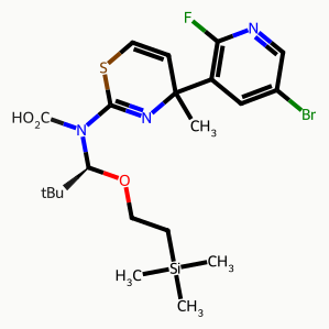 CC1(c2cc(Br)cnc2F)C=CSC(N(C(=O)O)[C@@H](OCC[Si](C)(C)C)C(C)(C)C)=N1